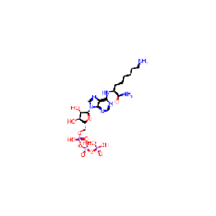 NCCCCCCC(Nc1ncnc2c1ncn2[C@@H]1O[C@H](COP(=O)(O)OP(=O)(O)OP(=O)(O)O)[C@@H](O)[C@H]1O)C(N)=O